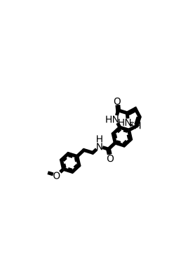 COc1ccc(CCNC(=O)c2ccc3c(c2)NC(=O)/C(NS)=C/C=C\3)cc1